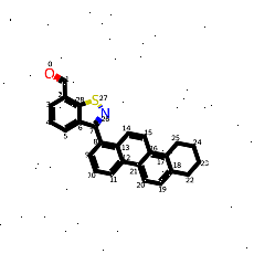 O=Cc1cccc2c(-c3cccc4c3ccc3c5c(ccc34)CCCC5)nsc12